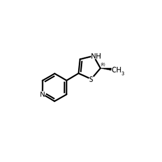 C[C@@H]1NC=C(c2ccncc2)S1